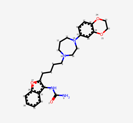 NC(=O)Nc1c(CCCCN2CCCN(c3ccc4c(c3)OCCO4)CC2)oc2ccccc12